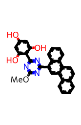 COc1nc(-c2c(O)cc(O)cc2O)nc(-c2cc3c4ccccc4ccc3c3ccccc23)n1